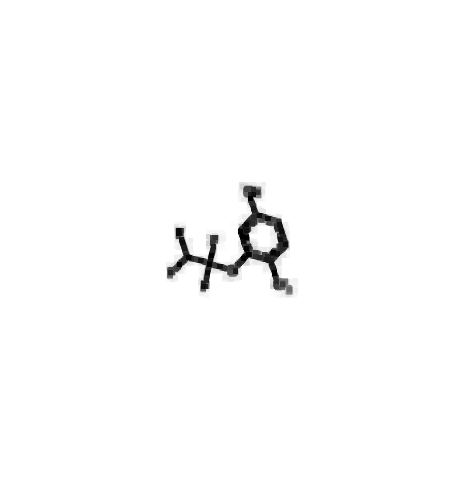 Oc1ccc(C(F)(F)F)c(OC(F)(F)C(F)F)c1